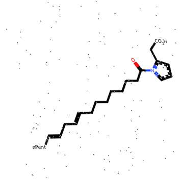 CCCCC/C=C/C/C=C/CCCCCCCC(=O)n1cccc1CC(=O)O